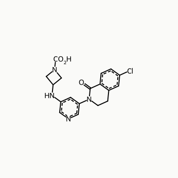 O=C(O)N1CC(Nc2cncc(N3CCc4cc(Cl)ccc4C3=O)c2)C1